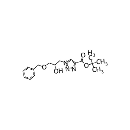 CC(C)(C)OC(=O)c1cn(CC(O)COCc2ccccc2)nn1